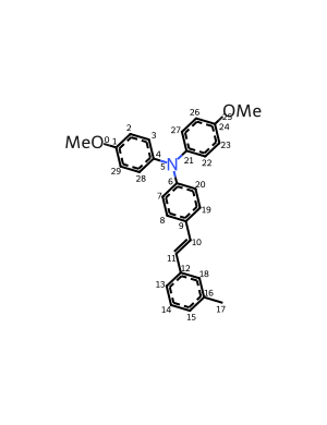 COc1ccc(N(c2ccc(C=Cc3cccc(C)c3)cc2)c2ccc(OC)cc2)cc1